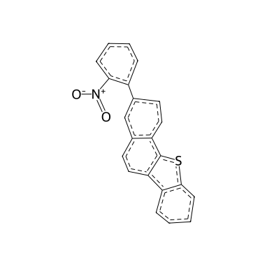 O=[N+]([O-])c1ccccc1-c1ccc2c(ccc3c4ccccc4sc23)c1